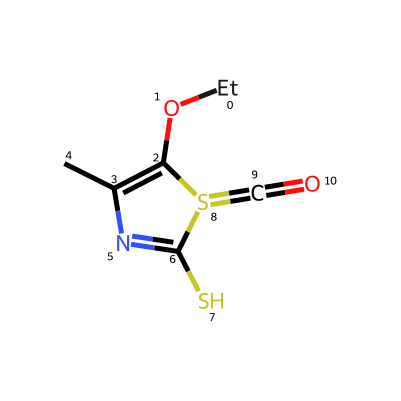 CCOC1=C(C)N=C(S)S1=C=O